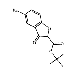 CC(C)(C)OC(=O)C1Oc2ccc(Br)cc2C1=O